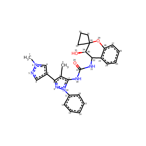 Cc1c(-c2cnn(C)c2)nn(-c2ccccc2)c1NC(=O)NC1c2ccccc2OC2(CCC2)[C@@H]1O